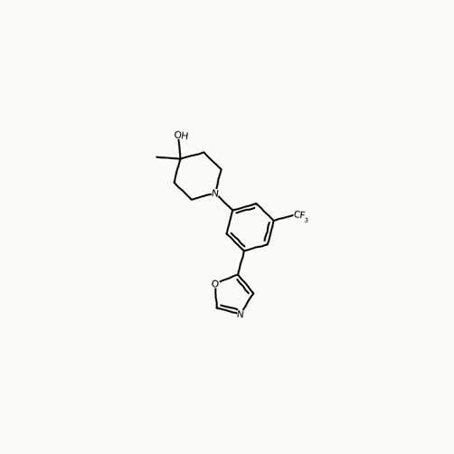 CC1(O)CCN(c2cc(-c3cnco3)cc(C(F)(F)F)c2)CC1